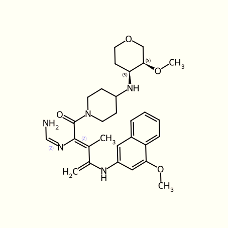 C=C(Nc1cc(OC)c2ccccc2c1)/C(C)=C(\N=C/N)C(=O)N1CCC(N[C@H]2CCOC[C@H]2OC)CC1